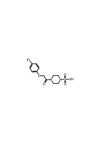 CCCS(=O)(=O)N1CCN(C(=O)COc2ccc(CC)cc2)CC1